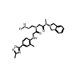 CCNCCN(CC(=O)N(C)N1Cc2ccccc2C1)C(=O)CNc1ccc(-c2nc(C)no2)cc1C